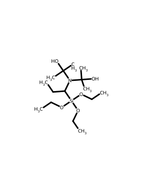 CCO[Si](OCC)(OCC)C(CC)N(C(C)(C)O)C(C)(C)O